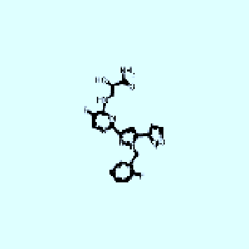 NC(=O)C(O)CNc1nc(-c2cc(-c3ccon3)n(Cc3ccccc3F)n2)ncc1F